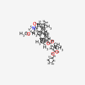 COC1CCN(C(=O)[C@]23CC[C@@H](C4(C)CC4)[C@@H]2[C@H]2CC[C@@H]4[C@@]5(C)CC[C@H](OC(=O)[C@H]6CC(C(=O)OCc7ccccc7)C6(C)C)C(C)(C)[C@@H]5CC[C@@]4(C)[C@]2(C)CC3)CC1